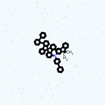 CC1(C)c2ccccc2-c2ccc(N(c3ccc(-c4ccccc4)cc3)c3cccc4c3-c3ccccc3C43c4ccccc4-c4c(-c5ccccc5-c5ccccc5)cccc43)cc21